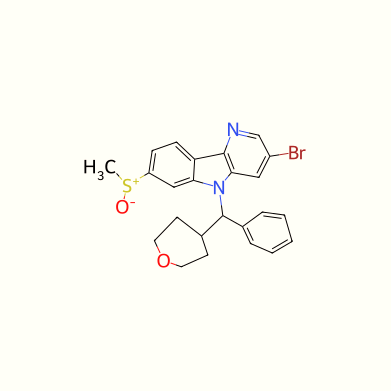 C[S+]([O-])c1ccc2c3ncc(Br)cc3n(C(c3ccccc3)C3CCOCC3)c2c1